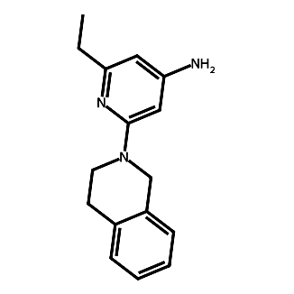 CCc1cc(N)cc(N2CCc3ccccc3C2)n1